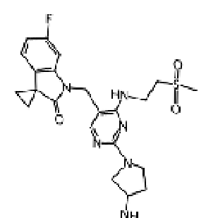 CS(=O)(=O)CCNc1nc(N2CCC(N)C2)ncc1CN1C(=O)C2(CC2)c2ccc(F)cc21